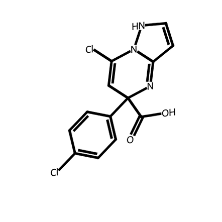 O=C(O)C1(c2ccc(Cl)cc2)C=C(Cl)N2NC=CC2=N1